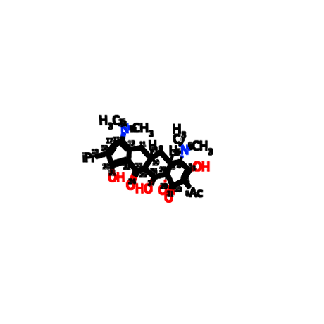 CC(=O)C1=C(O)[C@@H](N(C)C)[C@@H]2C[C@@H]3Cc4c(N(C)C)cc(C(C)C)c(O)c4C(=O)C3C(O)[C@]2(O)C1=O